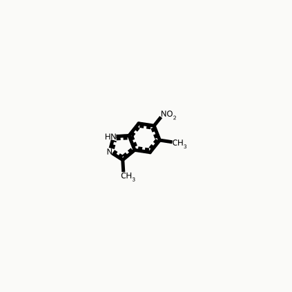 Cc1cc2c(C)n[nH]c2cc1[N+](=O)[O-]